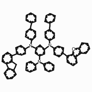 c1ccc(-c2ccc(N(c3ccc(-c4cccc5c4Cc4ccccc4-5)cc3)c3cc(N(c4ccccc4)c4ccccc4)cc(N(c4ccc(-c5ccccc5)cc4)c4ccc(-c5cccc6c5oc5ccccc56)cc4)c3)cc2)cc1